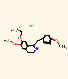 CCOc1cc2c(cc1OC)CCNC2Cc1ccc(OC)cc1.Cl